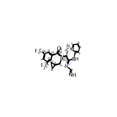 C[C@@H](/C(=N/C=N)Nc1ccccn1)N(CC1CC1)C(=O)c1cc(C(F)(F)F)cc(C(F)(F)F)c1